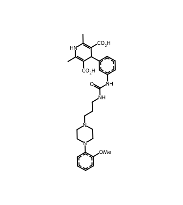 COc1ccccc1N1CCN(CCCNC(=O)Nc2cccc(C3C(C(=O)O)=C(C)NC(C)=C3C(=O)O)c2)CC1